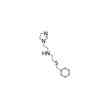 C1=NCCN1CCNCCSCc1ccccc1